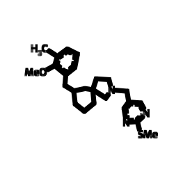 COc1c(C)cccc1CC1CCCC2(CCN(Cc3cnc(SC)nc3)C2)C1